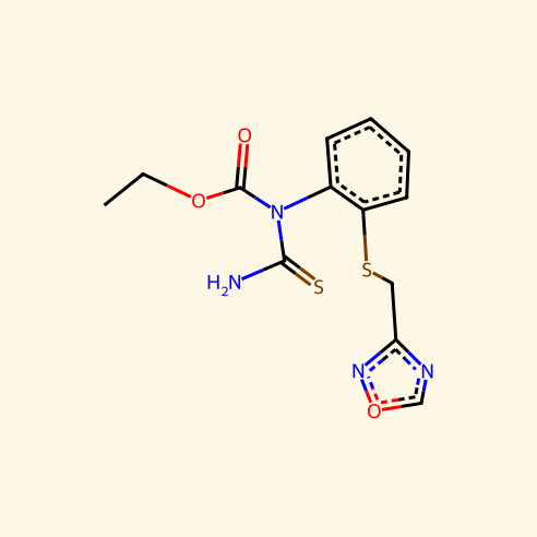 CCOC(=O)N(C(N)=S)c1ccccc1SCc1ncon1